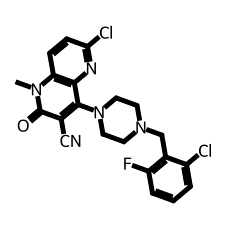 Cn1c(=O)c(C#N)c(N2CCN(Cc3c(F)cccc3Cl)CC2)c2nc(Cl)ccc21